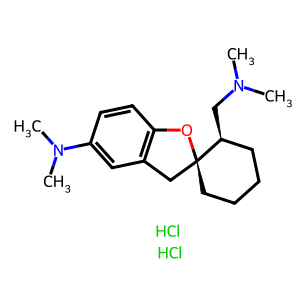 CN(C)C[C@H]1CCCC[C@]12Cc1cc(N(C)C)ccc1O2.Cl.Cl